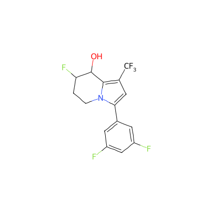 OC1c2c(C(F)(F)F)cc(-c3cc(F)cc(F)c3)n2CCC1F